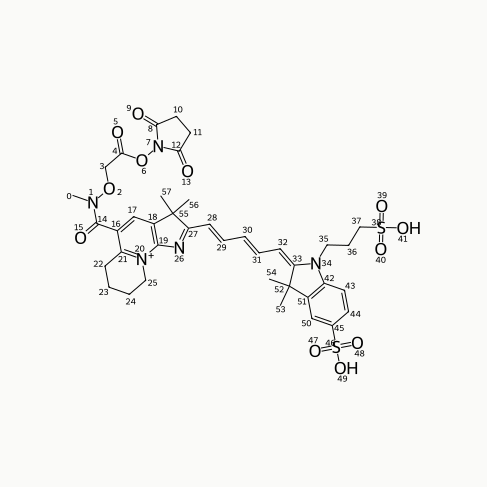 CN(OCC(=O)ON1C(=O)CCC1=O)C(=O)c1cc2c([n+]3c1CCCC3)N=C(/C=C/C=C/C=C1/N(CCCS(=O)(=O)O)c3ccc(S(=O)(=O)O)cc3C1(C)C)C2(C)C